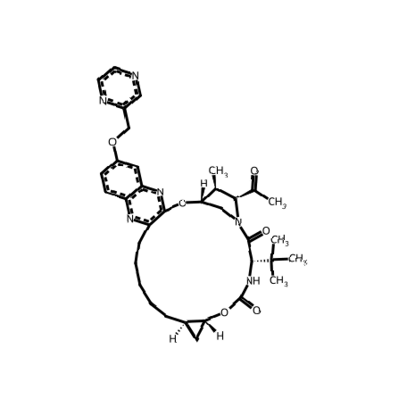 CC(=O)[C@@H]1[C@H](C)[C@@H]2CN1C(=O)[C@H](C(C)(C)C)NC(=O)O[C@@H]1C[C@H]1CCCCCc1nc3ccc(OCc4cnccn4)cc3nc1O2